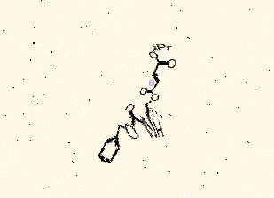 CC(C)OC(=O)/C=C/C(=O)OC[C@H](C)NC(=O)OCc1ccccc1